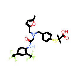 Cc1ccc(CN(CC(=O)Nc2ccc(C(F)(F)F)cc2C(F)(F)F)Cc2ccc(SC(C)(C)C(=O)O)cc2)o1